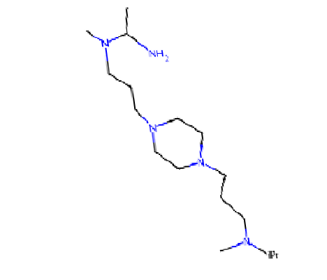 CC(C)N(C)CCCN1CCN(CCCN(C)C(C)N)CC1